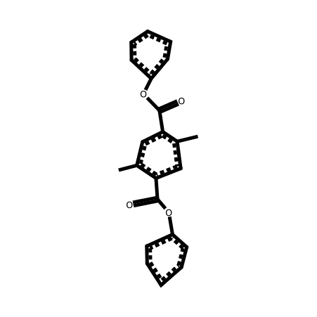 Cc1cc(C(=O)Oc2ccccc2)c(C)cc1C(=O)Oc1ccccc1